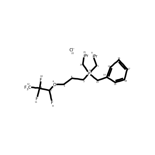 CC(C)C[P+](CCCOC(F)C(F)(F)C(F)(F)F)(Cc1ccccc1)CC(C)C.[Cl-]